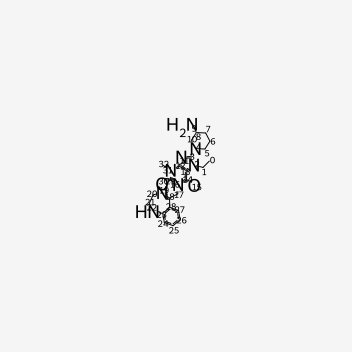 CCn1c(N2CCCC(N)C2)nc2c1c(=O)n(CC1=NCCNc3ccccc31)c(=O)n2C